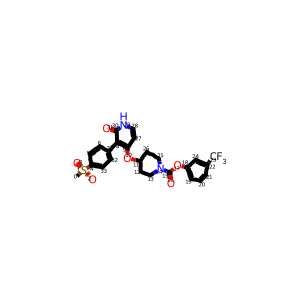 CS(=O)(=O)c1ccc(-c2c(OC3CCN(C(=O)Oc4cccc(C(F)(F)F)c4)CC3)cc[nH]c2=O)cc1